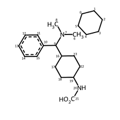 C1CCCCC1.CN(C)C(c1ccccc1)C1CCC(NC(=O)O)CC1